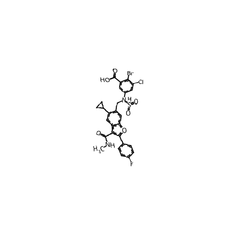 CNC(=O)c1c(-c2ccc(F)cc2)oc2cc(CN(c3cc(Cl)c(Br)c(C(=O)O)c3)[SH](=O)=O)c(C3CC3)cc12